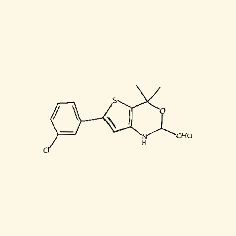 CC1(C)OC(C=O)Nc2cc(-c3cccc(Cl)c3)sc21